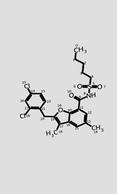 CCCCCS(=O)(=O)NC(=O)c1cc(C)cc2c(C)c(Cc3ccc(Cl)cc3Cl)oc12